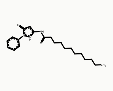 CCCCCCCCCCCC(=O)Nc1cc(=O)n(-c2ccccc2)[nH]1